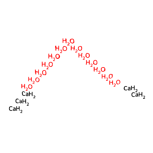 O.O.O.O.O.O.O.O.O.O.O.O.O.[CaH2].[CaH2].[CaH2].[CaH2].[CaH2]